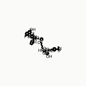 CCc1c(F)ccc2cc(O)cc(-c3ncc4c(N5CC6CCC(C5)N6)nc(OC[C@@H]5CCCN5C(=O)CCCCC(=O)N[C@H](C(=O)N5C[C@H](O)C[C@H]5C(=O)NCc5ccc(-c6scnc6C)cc5)C(C)(C)C)nc4c3F)c12